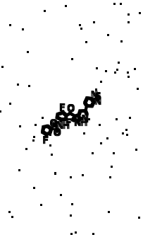 O=C(c1c(F)ccc(NS(=O)(=O)c2cccc(F)c2)c1F)c1c[nH]c2ncc(-c3ccc4nsnc4c3)cc12